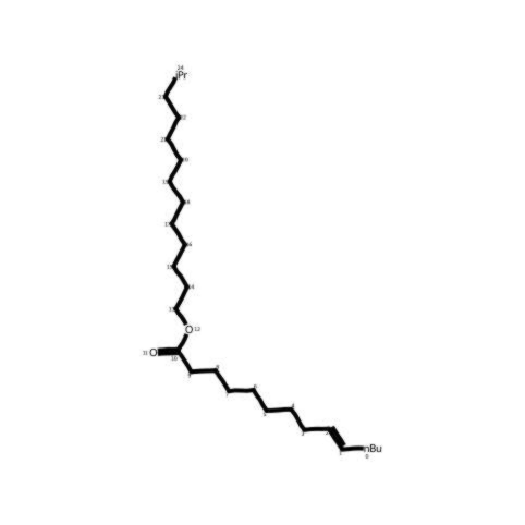 CCCCC=CCCCCCCCC(=O)OCCCCCCCCCCCC(C)C